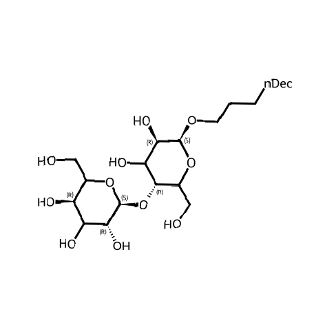 CCCCCCCCCCCCCO[C@H]1OC(CO)[C@H](O[C@@H]2OC(CO)[C@H](O)C(O)[C@H]2O)C(O)[C@H]1O